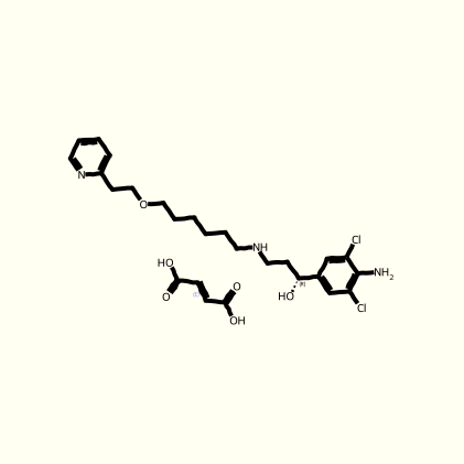 Nc1c(Cl)cc([C@H](O)CCNCCCCCCOCCc2ccccn2)cc1Cl.O=C(O)/C=C/C(=O)O